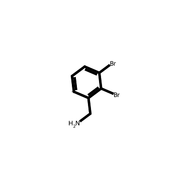 NCc1[c]ccc(Br)c1Br